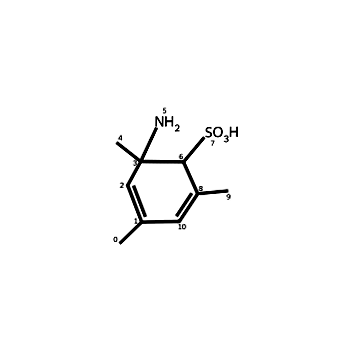 CC1=CC(C)(N)C(S(=O)(=O)O)C(C)=C1